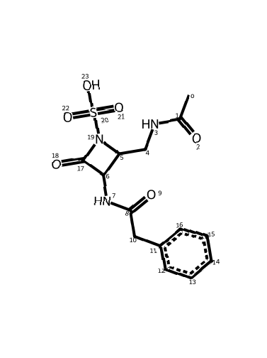 CC(=O)NCC1C(NC(=O)Cc2ccccc2)C(=O)N1S(=O)(=O)O